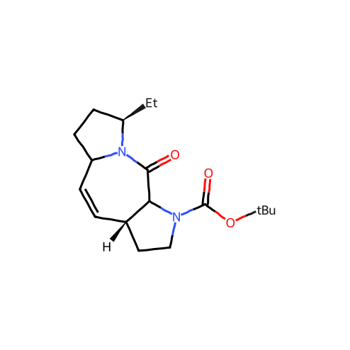 CC[C@@H]1CCC2C=C[C@H]3CCN(C(=O)OC(C)(C)C)C3C(=O)N21